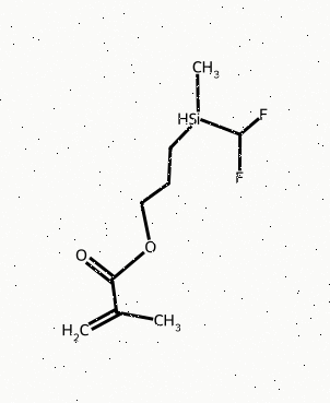 C=C(C)C(=O)OCCC[SiH](C)C(F)F